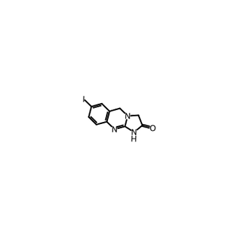 O=C1CN2Cc3cc(I)ccc3N=C2N1